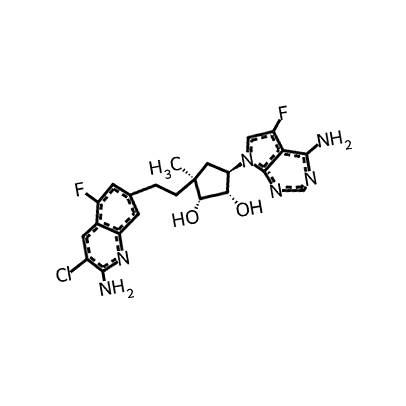 C[C@]1(CCc2cc(F)c3cc(Cl)c(N)nc3c2)C[C@@H](n2cc(F)c3c(N)ncnc32)[C@H](O)[C@@H]1O